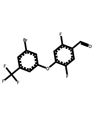 O=Cc1cc(F)c(Oc2cc(Br)cc(C(F)(F)F)c2)cc1F